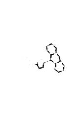 OB(O)c1ccc(-c2c3ccccc3cc3ccccc23)[se]1